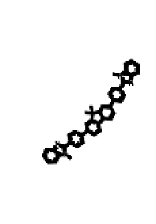 Cn1c(-c2ccc(C3=CC4C(C=C3)c3ccc(-c5ccc(-c6nc7ccccc7n6C)cc5)cc3C4(C)C)cc2)nc2ccccc21